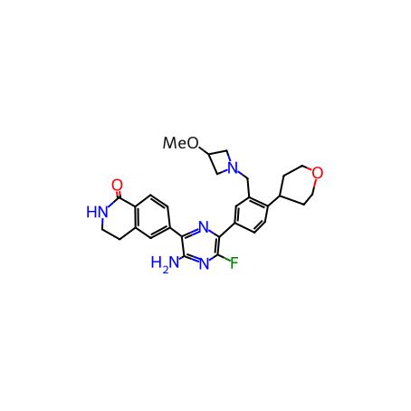 COC1CN(Cc2cc(-c3nc(-c4ccc5c(c4)CCNC5=O)c(N)nc3F)ccc2C2CCOCC2)C1